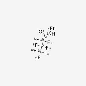 CCNC(=O)C(F)(F)C(F)(F)C(F)(F)I